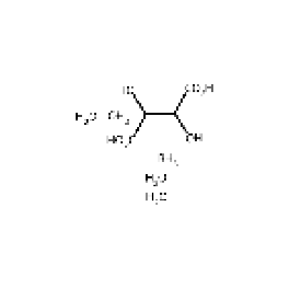 B.O.O.O.O.O=C(O)C(O)C(O)C(=O)O